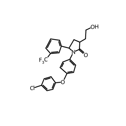 O=C1C(CCO)CC(c2cccc(C(F)(F)F)c2)N1c1ccc(Oc2ccc(Cl)cc2)cc1